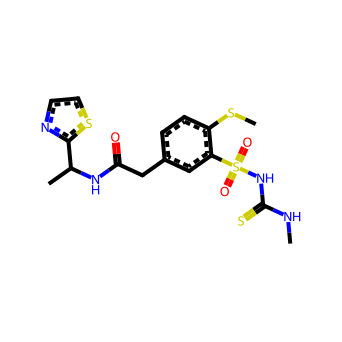 CNC(=S)NS(=O)(=O)c1cc(CC(=O)NC(C)c2nccs2)ccc1SC